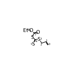 C=CCSC(=S)SC(=O)OCC